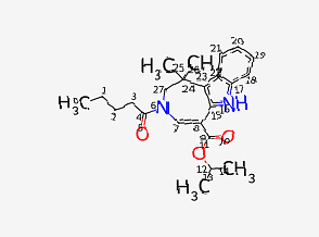 CCCCC(=O)N1C=C(C(=O)OC(C)C)c2[nH]c3ccccc3c2C(C)(C)C1